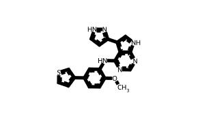 COc1ccc(-c2ccsc2)cc1Nc1ncnc2[nH]cc(-c3cc[nH]n3)c12